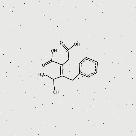 CC(C)C(Cc1ccccc1)=C(CC(=O)O)C(=O)O